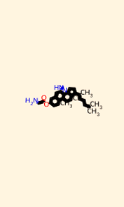 CC(C)CCC[C@@H](C)C1CCC2[C@]1(C)CCC1[C@@]2(N=N)CC=C2C[C@@H](OC(=O)CN)CC[C@@]21C